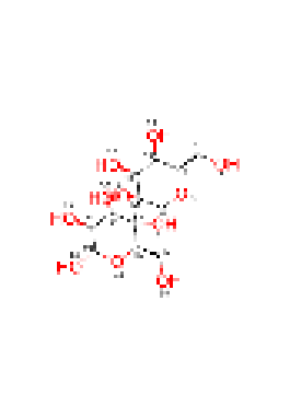 OC[C@H]1OC[C@](O)([C@]2(O)[C@H](O)[C@H](O)[C@@H](O)O[C@@H]2CO)[C@@H](O)[C@H]1O